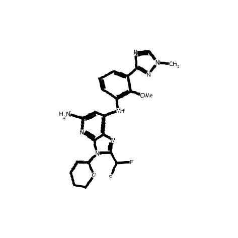 COc1c(Nc2cc(N)nc3c2nc(C(F)F)n3C2CCCCO2)cccc1-c1ncn(C)n1